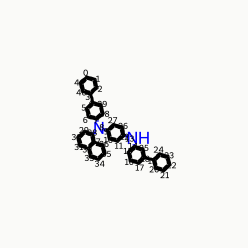 c1ccc(-c2ccc(N(c3ccc(Nc4cccc(-c5ccccc5)c4)cc3)c3cccc4ccccc34)cc2)cc1